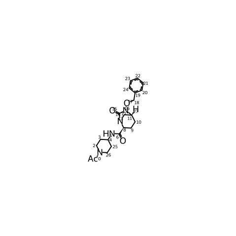 CC(=O)N1CCC(NC(=O)[C@@H]2CC[C@@H]3CN2C(=O)N3OCc2ccccc2)CC1